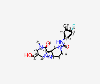 C[C@@H]1Cc2nn3c(c2CN1C(=O)Nc1ccc(F)c(C(F)(F)F)c1)C(=O)N(C)CC(CO)C3